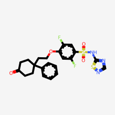 O=C1CCC(CCOc2cc(F)c(S(=O)(=O)Nc3ncns3)cc2F)(c2ccccc2)CC1